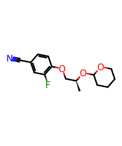 C[C@@H](COc1ccc(C#N)cc1F)OC1CCCCO1